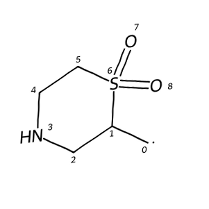 [CH2]C1CNCCS1(=O)=O